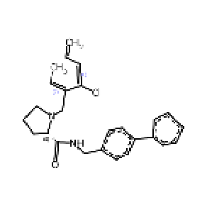 C=C/C=C(Cl)\C(=C/C)CN1CCC[C@H]1C(=O)NCc1ccc(-c2ccccc2)cc1